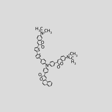 CCN(CC)c1ccc2cc(-c3ccc(N(c4ccc(-c5ccc(-c6ccc(-c7cc8ccc(N(CC)CC)cc8oc7=O)s6)s5)cc4)c4ccc(-c5cc6c(ccc7ccccc76)oc5=O)cc4)cc3)c(=O)oc2c1